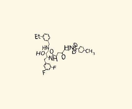 CCc1cccc(CNC[C@@H](O)[C@H](Cc2cc(F)cc(F)c2)NC(=O)CCC(=O)CCNS(=O)(=O)c2ccc(C)cc2)c1